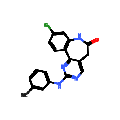 N#Cc1cccc(Nc2ncc3c(n2)-c2ccc(Cl)cc2NC(=O)C3)c1